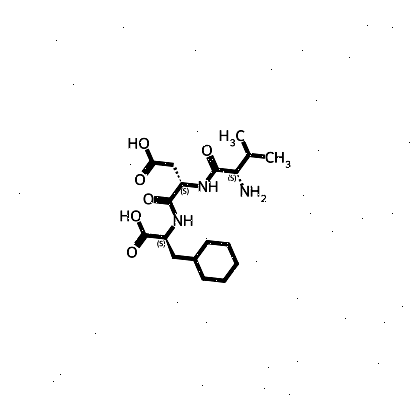 CC(C)[C@H](N)C(=O)N[C@@H](CC(=O)O)C(=O)N[C@@H](CC1CCCCC1)C(=O)O